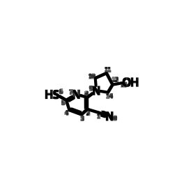 N#Cc1ccc(S)nc1N1CCC(O)C1